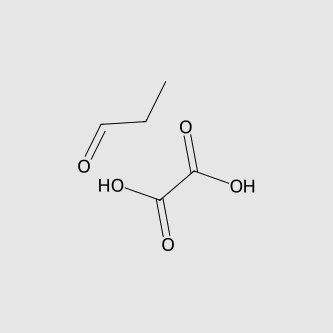 CCC=O.O=C(O)C(=O)O